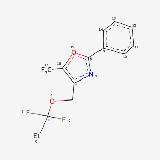 CCC(F)(F)OCc1nc(-c2ccccc2)oc1C(F)(F)F